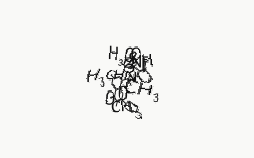 Cc1cc(C(C)Nc2cccc(F)c2C(=O)NS(C)(=O)=O)c2oc(-c3ccccc3)c(C)c(=O)c2c1